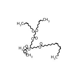 CC/C=C\CCCCOC(CCC(=O)OCCCCC(CCCCOC(=O)CCCCCCC/C=C\C/C=C\CCCCC)OC(=O)C1(C)CCN(C)C1)OCCCC/C=C\CC